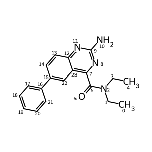 CCN(CC)C(=O)c1nc(N)nc2ccc(-c3ccccc3)cc12